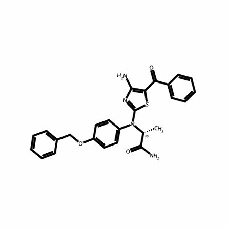 C[C@H](C(N)=O)N(c1ccc(OCc2ccccc2)cc1)c1nc(N)c(C(=O)c2ccccc2)s1